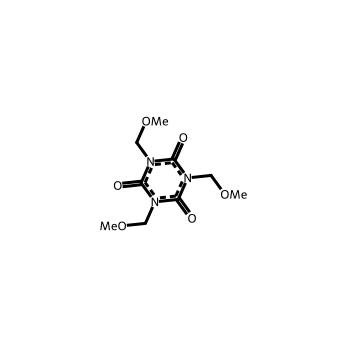 COCn1c(=O)n(COC)c(=O)n(COC)c1=O